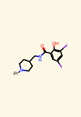 CC(C)N1CCC(CNC(=O)c2cc(I)cc(I)c2O)CC1